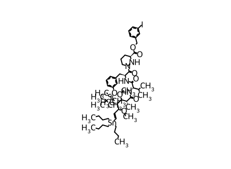 CCC[CH2][Sn](/[CH]=C/[C@H](OC)[C@H](C)[C@@H](OC)[C@@H](C)C(=O)N[C@H](C(=O)N[C@@H](Cc1cccc(O[Si](C)(C)C(C)(C)C)c1)C(=O)N1CCC[C@@H](C(=O)OCc2cccc(I)c2)N1)C(C)C)([CH2]CCC)[CH2]CCC